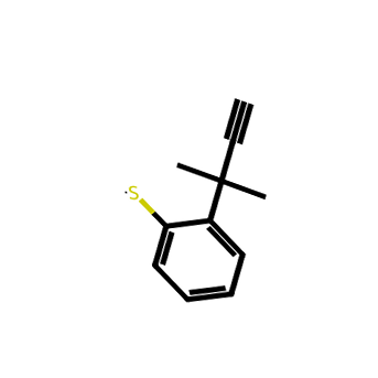 C#CC(C)(C)c1ccccc1[S]